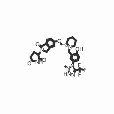 CN1NN=C(C(F)(F)F)N1c1ccc(O)c(CN2CCCC[C@H]2COc2ccc3c(c2)CN(C2CCC(=O)NC2=O)C3=O)c1